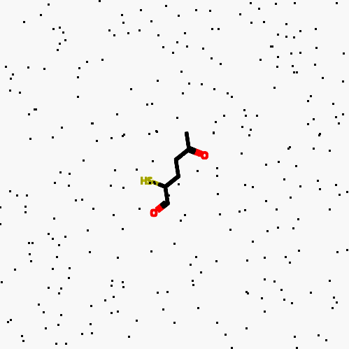 CC(=O)CCC(S)C=O